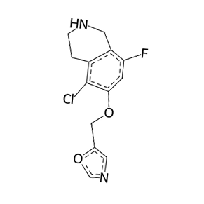 Fc1cc(OCc2cnco2)c(Cl)c2c1CNCC2